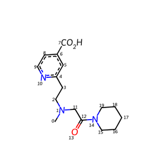 CN(CCc1cc(C(=O)O)ccn1)CC(=O)N1CCCCC1